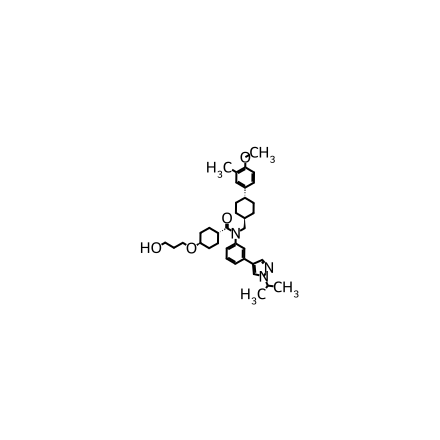 COc1ccc([C@H]2CC[C@H](CN(c3cccc(-c4cnn(C(C)C)c4)c3)C(=O)[C@H]3CC[C@H](OCCCO)CC3)CC2)cc1C